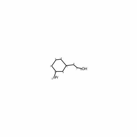 CCCC1CCCC(CCO)C1